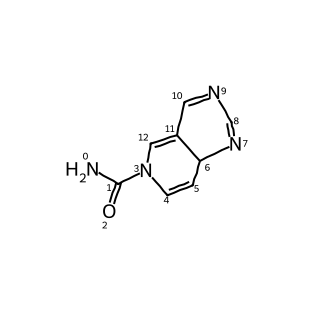 NC(=O)N1C=CC2N=CN=CC2=C1